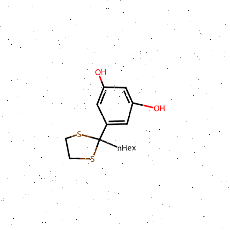 CCCCCCC1(c2cc(O)cc(O)c2)SCCS1